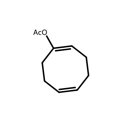 CC(=O)OC1=CCCC=CCC1